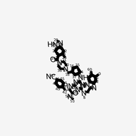 Cc1cc2nc(CN(C)c3nc(Nc4cccc(CN5CCN(C(=O)c6cc7[nH]cnc7cc6C)CC5)c4)nc(N[C@@H](Cc4ccc(C#N)cc4)C(=O)N(C)C)n3)[nH]c2cc1C